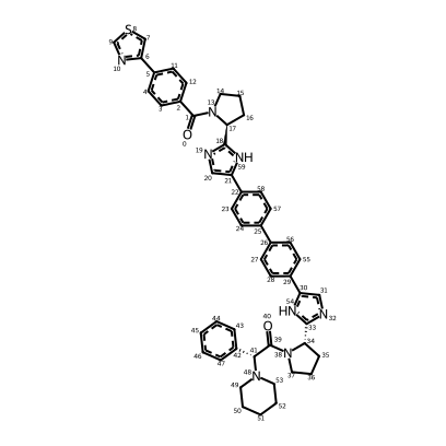 O=C(c1ccc(-c2cscn2)cc1)N1CCC[C@H]1c1ncc(-c2ccc(-c3ccc(-c4cnc([C@@H]5CCCN5C(=O)[C@@H](c5ccccc5)N5CCCCC5)[nH]4)cc3)cc2)[nH]1